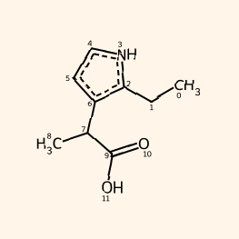 CCc1[nH]ccc1C(C)C(=O)O